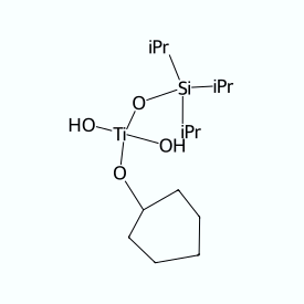 CC(C)[Si]([O][Ti]([OH])([OH])[O]C1CCCCC1)(C(C)C)C(C)C